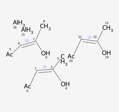 CC(=O)/C=C(/C)O.CC(=O)/C=C(/C)O.CC(=O)/C=C(/C)O.[AlH3].[AlH3]